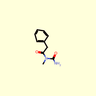 CN(C(N)=O)C(=O)[CH]c1ccccc1